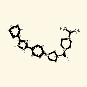 CC(C)N1CCN(C(=O)[C@H]2CCN(c3ccc(-c4nnc(-c5ccccc5)o4)cc3)C2)CC1